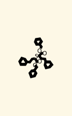 O=C(OCc1ccccc1)C(CCc1ccccc1)SC(CCc1ccccc1)C(=O)OCc1ccccc1